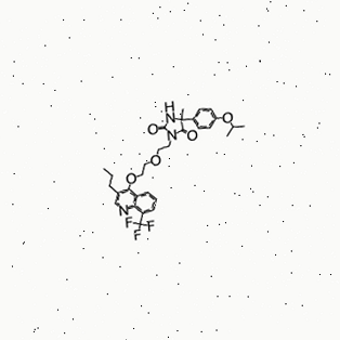 CCCc1cnc2c(C(F)(F)F)cccc2c1OCCOCCN1C(=O)NC(C)(c2ccc(OC(C)C)cc2)C1=O